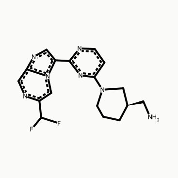 NC[C@H]1CCCN(c2ccnc(-c3cnc4cnc(C(F)F)cn34)n2)C1